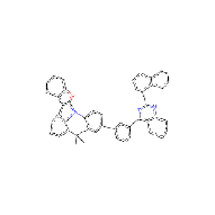 CC1(C)c2cc(-c3cccc(-c4nc(-c5cccc6ccccc56)nc5ccccc45)c3)ccc2-n2c3oc4ccccc4c3c3cccc1c32